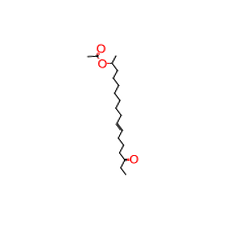 CCC(=O)CCCC=CCCCCCCCC(C)OC(C)=O